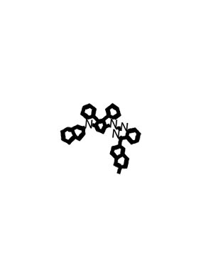 Cc1ccc2cc(-c3nc(-n4c5ccccc5c5c6c7ccccc7n(-c7ccc8ccccc8c7)c6ccc54)nc4ccccc34)ccc2c1